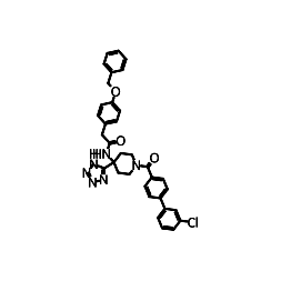 O=C(Cc1ccc(OCc2ccccc2)cc1)NC1(c2nnn[nH]2)CCN(C(=O)c2ccc(-c3cccc(Cl)c3)cc2)CC1